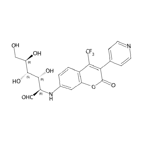 O=C[C@H](Nc1ccc2c(C(F)(F)F)c(-c3ccncc3)c(=O)oc2c1)[C@@H](O)[C@H](O)[C@H](O)CO